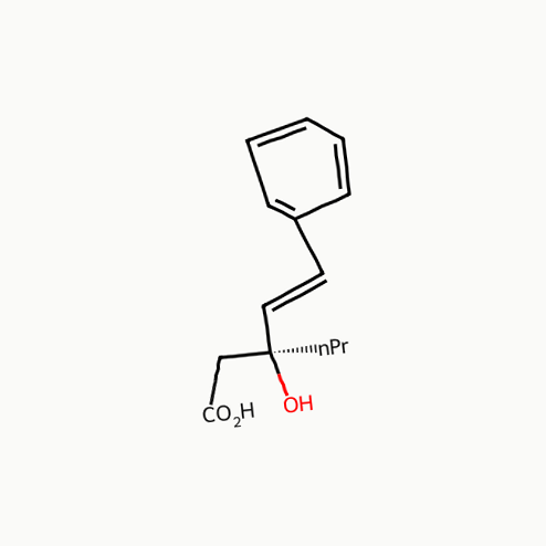 CCC[C@@](O)(C=Cc1ccccc1)CC(=O)O